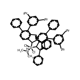 CC(C)c1cc(-c2c(-c3ccccc3)ccc3c2C=C(c2ccccc2)[CH]3[Zr]([Cl])([Cl])([CH]2C(c3ccccc3)=Cc3c2ccc(-c2ccccc2)c3-c2cc(C(C)C)cc(C(C)C)c2)[SiH](C)C)cc(C(C)C)c1